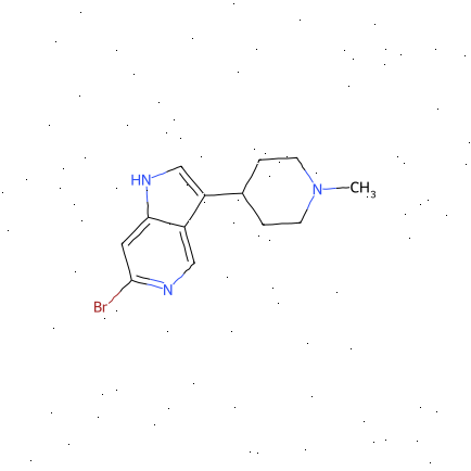 CN1CCC(c2c[nH]c3cc(Br)ncc23)CC1